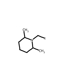 CC1CCCC(C)N1CI